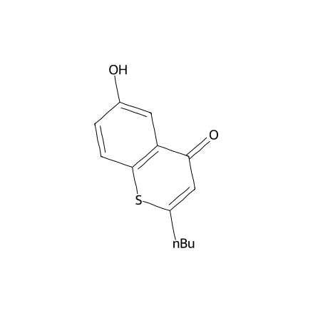 CCCCc1cc(=O)c2cc(O)ccc2s1